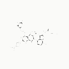 CCc1nnc(CNc2nc(N3CC(N(C)C)C3)nc3c(Cl)c(-c4ccc(F)c5sc(NC(=O)OC(C)(C)C)c(C#N)c45)c4c(c23)COC4)o1